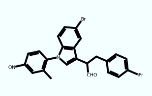 Cc1cc(N=O)ccc1-n1cc(C(C=O)Cc2ccc(C(C)C)cc2)c2cc(Br)ccc21